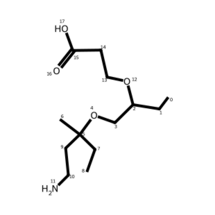 CCC(COC(C)(CC)CCN)OCCC(=O)O